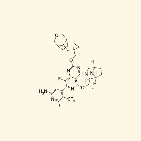 Cc1nc(N)cc(-c2nc3c4c(nc(OCC5(CN6C7CCC6COC7)CC5)nc4c2F)N2C[C@H]4CC[C@H](N4)[C@H]2[C@H](C)O3)c1C(F)(F)F